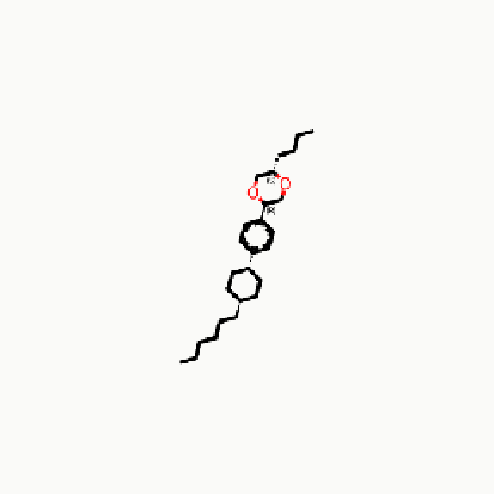 CCCCCC[C@H]1CC[C@H](c2ccc([C@@H]3CO[C@@H](CCCC)CO3)cc2)CC1